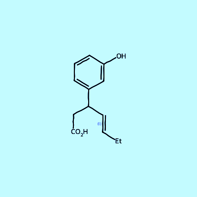 CC/C=C/C(CC(=O)O)c1cccc(O)c1